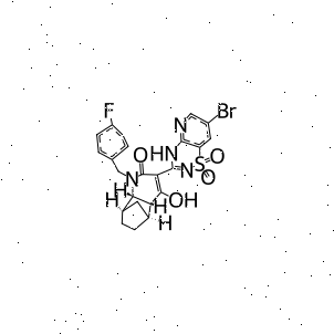 O=C1C(C2=NS(=O)(=O)c3cc(Br)cnc3N2)=C(O)[C@@H]2[C@H]3CC[C@H](C3)[C@@H]2N1Cc1ccc(F)cc1